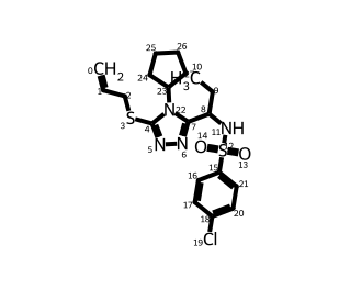 C=CCSc1nnc(C(CC)NS(=O)(=O)c2ccc(Cl)cc2)n1C1CCCC1